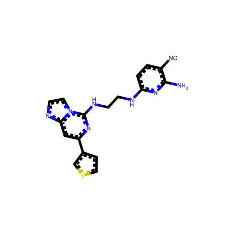 Nc1nc(NCCNc2nc(-c3ccsc3)cc3nccn23)ccc1N=O